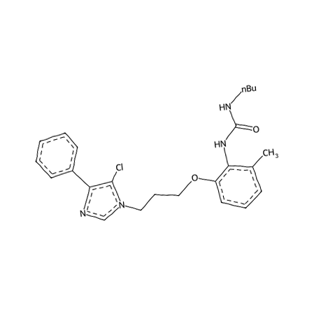 CCCCNC(=O)Nc1c(C)cccc1OCCCn1cnc(-c2ccccc2)c1Cl